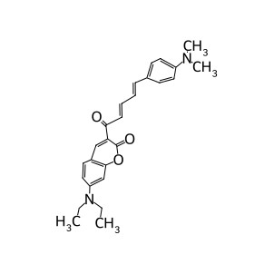 CCN(CC)c1ccc2cc(C(=O)C=C/C=C/c3ccc(N(C)C)cc3)c(=O)oc2c1